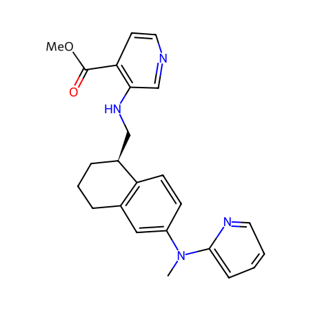 COC(=O)c1ccncc1NC[C@@H]1CCCc2cc(N(C)c3ccccn3)ccc21